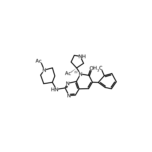 CC(=O)N1CCC(Nc2ncc3cc(-c4ccccc4C)c(=O)n([C@@]4(C(C)=O)CCNC4)c3n2)CC1